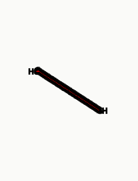 OOS(=S)(=S)SSSSSSSSSSSSSSSSSSSSSSSSSSSSSSSSSSSSSSSSSSSSSSSSSSSSSSSSSSSSSSSSSSSSSSSSSSSSSSSSSSSSSSSSSSSSSSSS